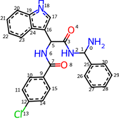 NC(NC(=O)C(NC(=O)c1ccc(Cl)cc1)c1c[nH]c2ccccc12)c1ccccc1